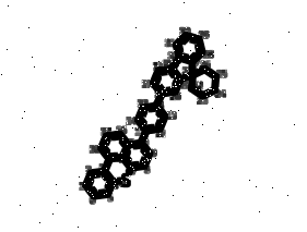 c1ccc2c(c1)Sc1ccc(-c3ccc(-c4ccc5c(c4)C4(CCCCC4)c4ccccc4-5)cc3)c3cccc-2c13